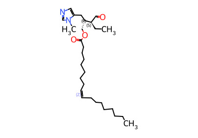 CCCCCCCC/C=C\CCCCCCCC(=O)OC[C@H](Cc1cncn1C)[C@@H](C=O)CC